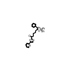 CC(C)[Si](OC(CCCCC(=O)c1ncc(-c2ccccn2)o1)Cc1ccccc1)(C(C)C)C(C)C